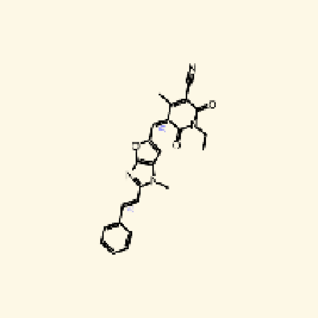 CCN1C(=O)C(C#N)=C(C)/C(=C/c2cc3c(nc(/C=C/c4ccccc4)n3C)o2)C1=O